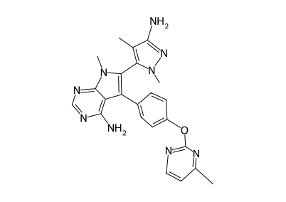 Cc1ccnc(Oc2ccc(-c3c(-c4c(C)c(N)nn4C)n(C)c4ncnc(N)c34)cc2)n1